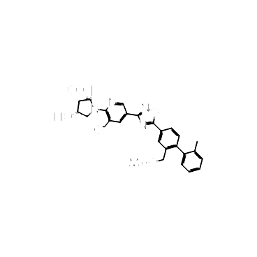 COCc1cc(-c2nc(-c3cnc(N4C[C@H](O)C[C@@H]4C(=O)O)c(Cl)c3)no2)ccc1-c1ccccc1C